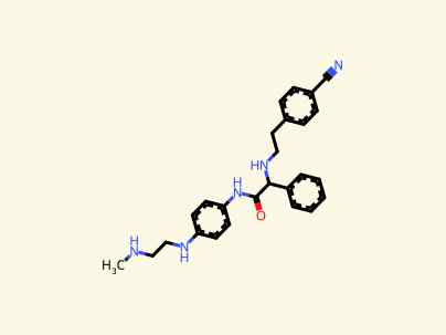 CNCCNc1ccc(NC(=O)C(NCCc2ccc(C#N)cc2)c2ccccc2)cc1